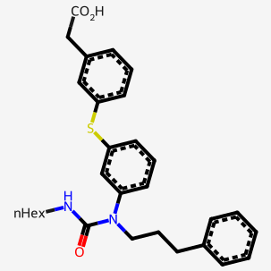 CCCCCCNC(=O)N(CCCc1ccccc1)c1cccc(Sc2cccc(CC(=O)O)c2)c1